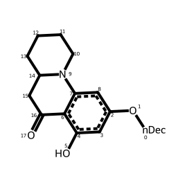 CCCCCCCCCCOc1cc(O)c2c(c1)N1CCCCC1CC2=O